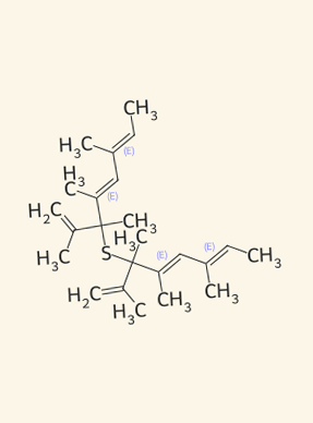 C=C(C)C(C)(SC(C)(C(=C)C)/C(C)=C/C(C)=C/C)/C(C)=C/C(C)=C/C